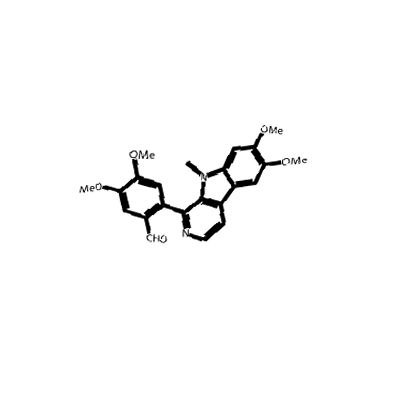 COc1cc(C=O)c(-c2nccc3c4cc(OC)c(OC)cc4n(C)c23)cc1OC